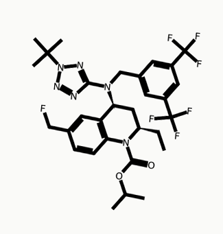 CC[C@@H]1C[C@H](N(Cc2cc(C(F)(F)F)cc(C(F)(F)F)c2)c2nnn(C(C)(C)C)n2)c2cc(CF)ccc2N1C(=O)OC(C)C